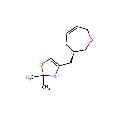 CC1(C)NC(C[C@H]2CC=CCOC2)=CO1